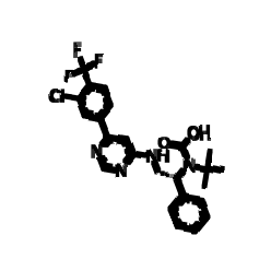 CC(C)(C)N(C(=O)O)[C@@H](CNc1cc(-c2ccc(C(F)(F)F)c(Cl)c2)ncn1)c1ccccc1